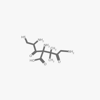 CC(C)(C(=O)CN)C(N)(C(=O)O)C(=O)C(N)CS